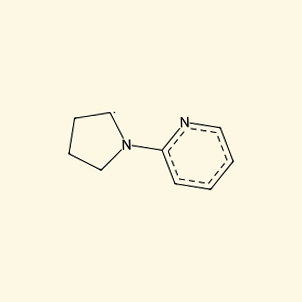 [CH]1CCCN1c1ccccn1